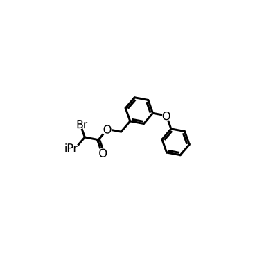 CC(C)C(Br)C(=O)OCc1cccc(Oc2ccccc2)c1